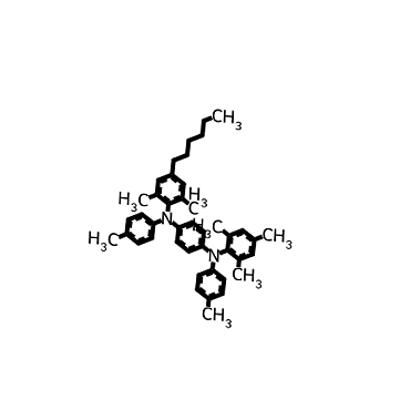 CCCCCCc1cc(C)c(N(c2ccc(C)cc2)c2ccc(N(c3ccc(C)cc3)c3c(C)cc(C)cc3C)cc2)c(C)c1